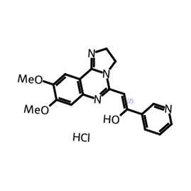 COc1cc2c(cc1OC)C1=NCCN1C(/C=C(\O)c1cccnc1)=N2.Cl